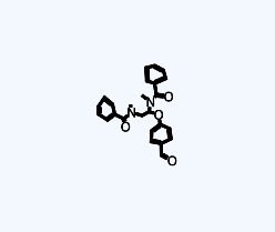 CN(CC(Oc1ccc(C=O)cc1)N(C)C(=O)c1ccccc1)C(=O)c1ccccc1